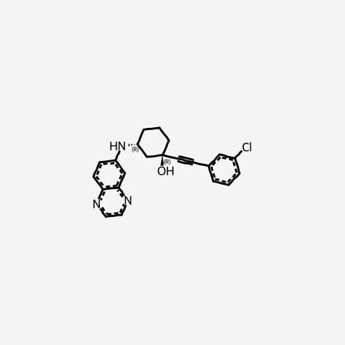 O[C@]1(C#Cc2cccc(Cl)c2)CCC[C@@H](Nc2ccc3nccnc3c2)C1